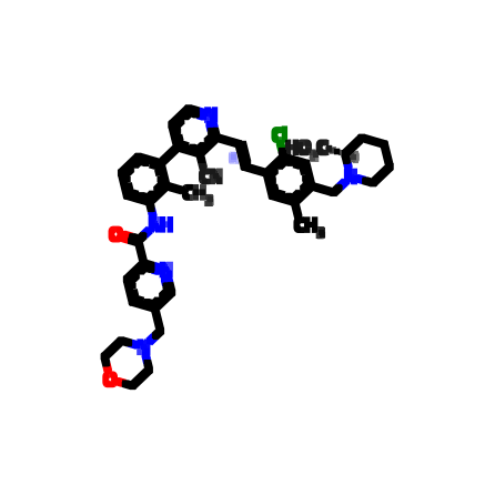 Cc1cc(/C=C/c2nccc(-c3cccc(NC(=O)c4ccc(CN5CCOCC5)cn4)c3C)c2C#N)c(Cl)cc1CN1CCCC[C@H]1C(=O)O